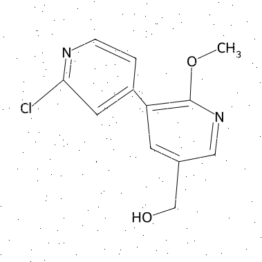 COc1ncc(CO)cc1-c1ccnc(Cl)c1